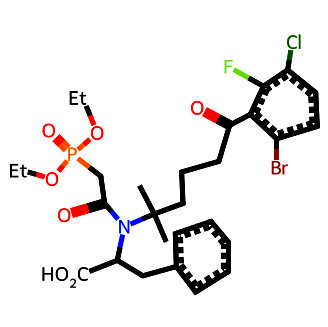 CCOP(=O)(CC(=O)N(C(Cc1ccccc1)C(=O)O)C(C)(C)CCCC(=O)c1c(Br)ccc(Cl)c1F)OCC